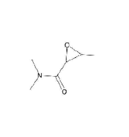 CC1OC1C(=O)N(C)C